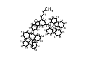 CCCCc1cc(N2c3ccccc3[Si](c3ccccc3)(c3ccccc3)c3ccccc32)cc2c1oc1ccc(N3c4ccccc4[Si](c4ccccc4)(c4ccccc4)c4ccccc43)cc12